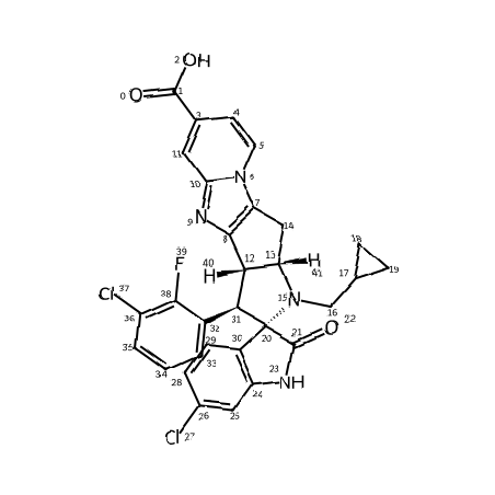 O=C(O)c1ccn2c3c(nc2c1)[C@@H]1[C@H](C3)N(CC2CC2)[C@@]2(C(=O)Nc3cc(Cl)ccc32)[C@H]1c1cccc(Cl)c1F